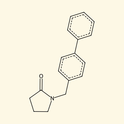 O=C1CCCN1Cc1ccc(-c2ccccc2)cc1